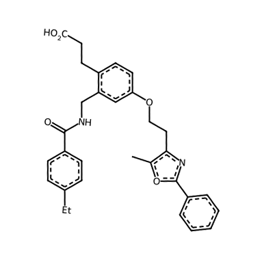 CCc1ccc(C(=O)NCc2cc(OCCc3nc(-c4ccccc4)oc3C)ccc2CCC(=O)O)cc1